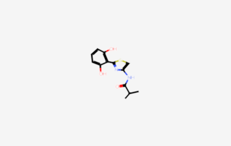 CC(C)C(=O)Nc1csc(-c2c(O)cccc2O)n1